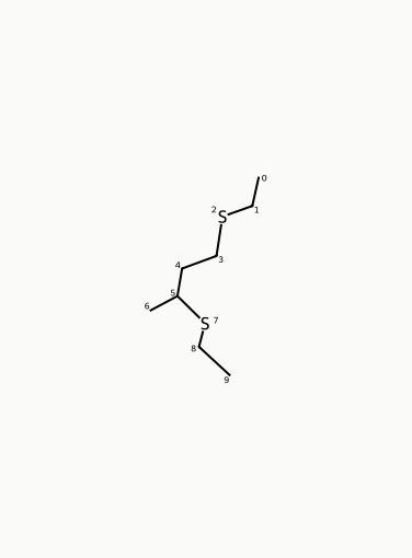 CCSCCC(C)SCC